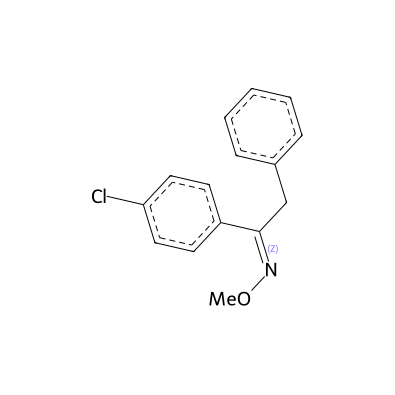 CO/N=C(/Cc1ccccc1)c1ccc(Cl)cc1